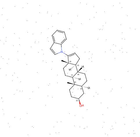 C[C@]12CC[C@H](O)C[C@@H]1CC[C@@H]1[C@@H]2CC[C@]2(C)C(n3ccc4ccccc43)=CC[C@@H]12